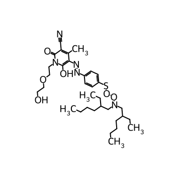 CCCCC(CC)CN(CC(CC)CCCC)OOSc1ccc(N=Nc2c(C)c(C#N)c(=O)n(CCOCCO)c2O)cc1